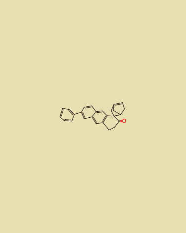 O=C1CCc2cc3cc(-c4ccccc4)ccc3cc2C12CC1=CCC2C1